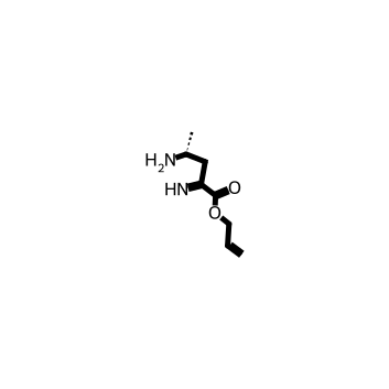 C=CCOC(=O)C(=N)C[C@@H](C)N